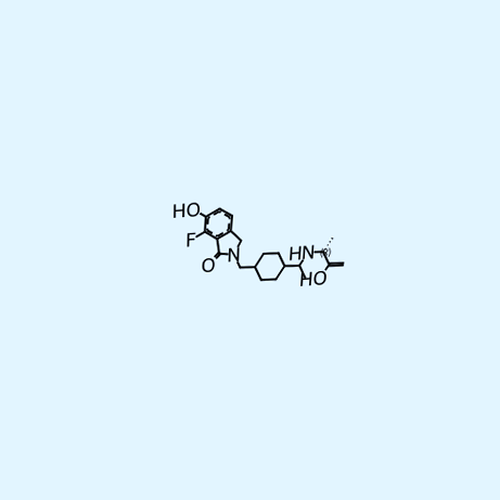 C=C(O)[C@@H](C)NC(C)C1CCC(CN2Cc3ccc(O)c(F)c3C2=O)CC1